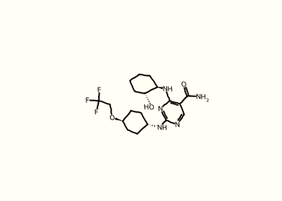 NC(=O)c1cnc(N[C@H]2CC[C@H](OCC(F)(F)F)CC2)nc1N[C@@H]1CCCC[C@H]1O